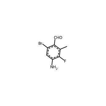 Cc1c(F)c(N)cc(Br)c1C=O